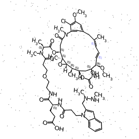 CNN(C)Cc1cc2ccccc2n1CCC(=O)N[C@@H](CCC(=O)O)C(=O)NCCOCCC(=O)N(C)[C@@H](C)C(=O)O[C@H]1CC(=O)N(C)c2cc(cc(OC)c2Cl)C/C(C)=C/C=C/[C@@H](OC)[C@@]2(O)C[C@H](OC(=O)N2)[C@@H](C)[C@@H]2O[C@@]12C